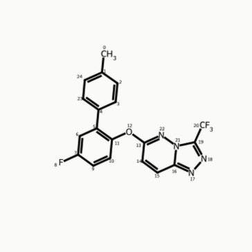 Cc1ccc(-c2cc(F)ccc2Oc2ccc3nnc(C(F)(F)F)n3n2)cc1